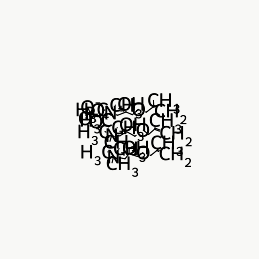 C=C(C)COCC(O)C[N+](C)(C)C.C=C(C)COCC(O)C[N+](C)(C)C.C=C(C)COCC(O)C[N+](C)(C)C.O=P([O-])([O-])[O-]